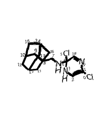 ClC1=CNC(Cl)(NCC23CC4CC(CC(C4)C2)C3)C=N1